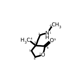 CNCC1(C)CCOC1=O